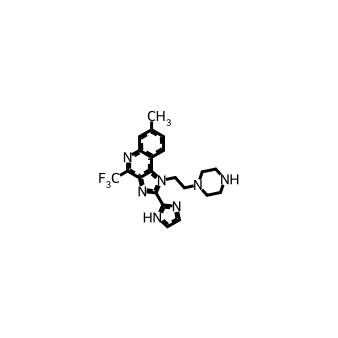 Cc1ccc2c(c1)nc(C(F)(F)F)c1nc(-c3ncc[nH]3)n(CCN3CCNCC3)c12